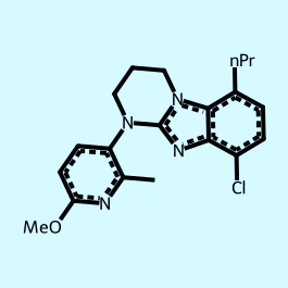 CCCc1ccc(Cl)c2nc3n(c12)CCCN3c1ccc(OC)nc1C